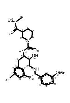 CCN(CC)C(=O)C1CCCN(C(=O)NC(Cc2cc(F)cc(F)c2)C(O)CNCc2cccc(OC)c2)C1